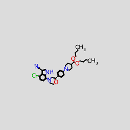 CCCCOC(OCCCC)C1CCN(c2ccc([C@@H]3CN(c4ccc(Cl)c5c(C#N)c[nH]c45)CCO3)cc2)CC1